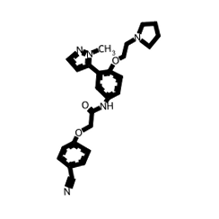 Cn1nccc1-c1cc(NC(=O)COc2ccc(C#N)cc2)ccc1OCCN1CCCC1